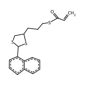 C=CC(=O)SCCCC1CSC(c2cccc3ccccc23)S1